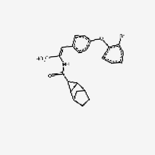 O=C(O)/C(=C/c1ccc(Oc2ccccc2Br)cc1)NC(=O)C1C2C3CCC(C3)C12